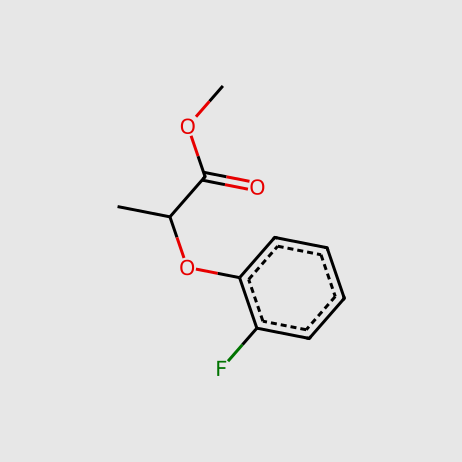 COC(=O)C(C)Oc1ccccc1F